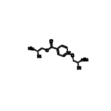 CCCCC(CC)COC(=O)c1cc[n+](OCC(CC)CCCC)cc1